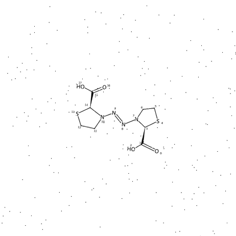 O=C(O)[C@@H]1SCCN1N=NN1CCS[C@H]1C(=O)O